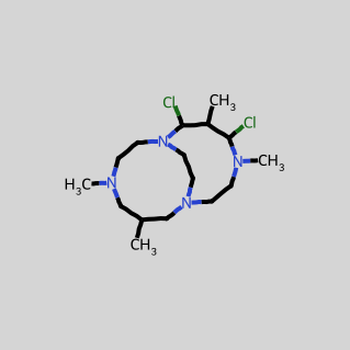 CC1CN(C)CCN2CCN(CCN(C)C(Cl)C(C)C2Cl)C1